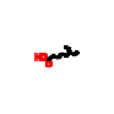 C=CC(=CC)CC=CCC(=O)O